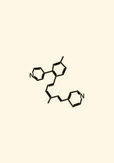 CC(=C/C=C/c1ccc(C)cc1-c1ccncc1)/C=C/c1ccncc1